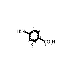 Nc1ccc(C(=O)O)cc1.[K]